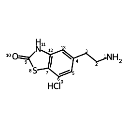 Cl.NCCc1ccc2sc(=O)[nH]c2c1